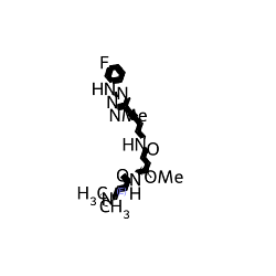 CNc1nc(Nc2cccc(F)c2)ncc1C#CCCCNC(=O)CC[C@@H](CNC(=O)/C=C/CN(C)C)OC